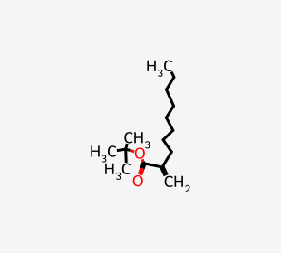 C=C(CCCCCCCC)C(=O)OC(C)(C)C